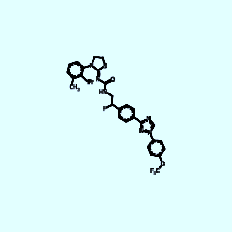 Cc1cccc(N2CCS/C2=N\C(=O)NCC(F)c2ccc(-c3ncn(-c4ccc(OC(F)(F)F)cc4)n3)cc2)c1C(C)C